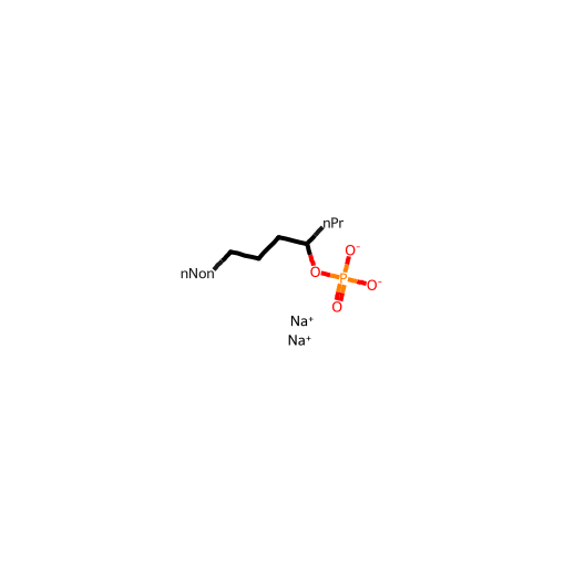 CCCCCCCCCCCCC(CCC)OP(=O)([O-])[O-].[Na+].[Na+]